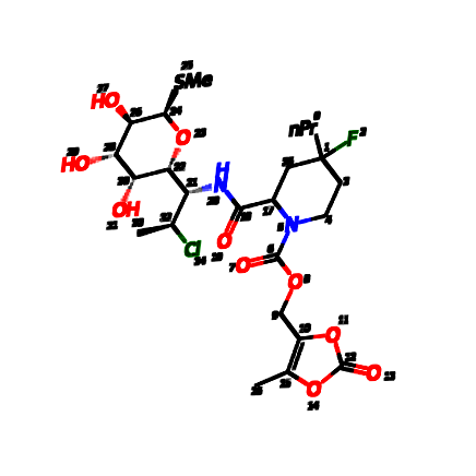 CCCC1(F)CCN(C(=O)OCc2oc(=O)oc2C)C(C(=O)N[C@@H]([C@H]2O[C@H](SC)[C@H](O)[C@@H](O)[C@H]2O)[C@H](C)Cl)C1